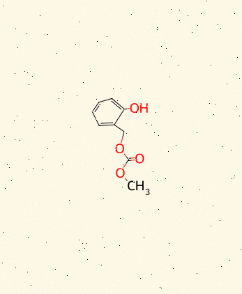 COC(=O)OCc1ccccc1O